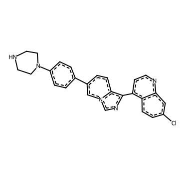 Clc1ccc2c(-c3ncn4cc(-c5ccc(N6CCNCC6)cc5)ccc34)ccnc2c1